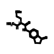 CSCC[C@H](NC(=O)O)C(=O)Nc1ccc2c(c1)CCC2=O